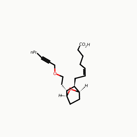 CCCC#CCOCC[C@@H]1[C@@H](C/C=C\CCCC(=O)O)[C@H]2CC[C@@H]1O2